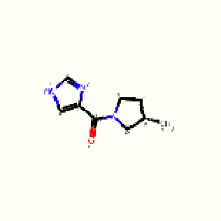 C[C@@H]1CCN(C(=O)c2c[nH]cn2)C1